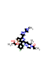 C=CC(=O)N1CCn2nc(-c3nc(-c4cnn(C5CN(C)C5)c4)c4ccsc4c3-c3c(F)cc(F)cc3OC[C@@H](C)O)cc2[C@H]1C